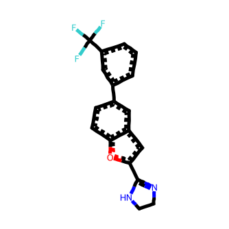 FC(F)(F)c1cccc(-c2ccc3oc(C4=NCCN4)cc3c2)c1